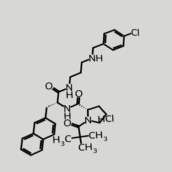 CC(C)(C)C(=O)N1CCC[C@H]1C(=O)N[C@H](Cc1ccc2ccccc2c1)C(=O)NCCCNCc1ccc(Cl)cc1.Cl